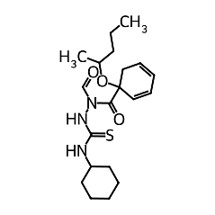 CCCC(C)OC1(C(=O)N(C=O)NC(=S)NC2CCCCC2)C=CC=CC1